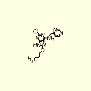 CCCOc1nc2c(NCc3ccncn3)nc(Cl)nc2[nH]1